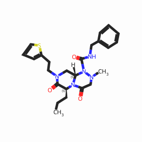 CCC[C@H]1C(=O)N(CCc2cccs2)C[C@H]2N1C(=O)CN(C)N2C(=O)NCc1ccccc1